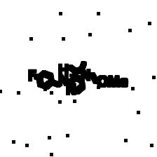 COCCn1c(C)c(C)c2c(NCc3ccc(F)cc3)nccc21